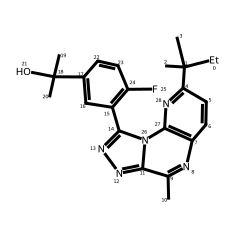 CCC(C)(C)c1ccc2nc(C)c3nnc(-c4cc(C(C)(C)O)ccc4F)n3c2n1